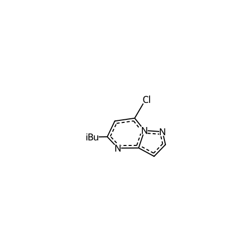 CCC(C)c1cc(Cl)n2nccc2n1